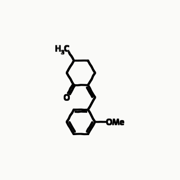 COc1ccccc1/C=C1/CCC(C)CC1=O